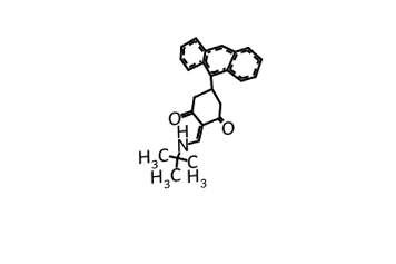 CC(C)(C)NC=C1C(=O)CC(c2c3ccccc3cc3ccccc23)CC1=O